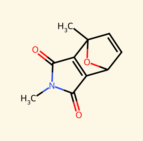 CN1C(=O)C2=C(C1=O)C1(C)C=CC2O1